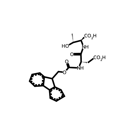 C[C@@H](O)[C@H](NC(=O)[C@H](CC(=O)O)NC(=O)OCC1c2ccccc2-c2ccccc21)C(=O)O